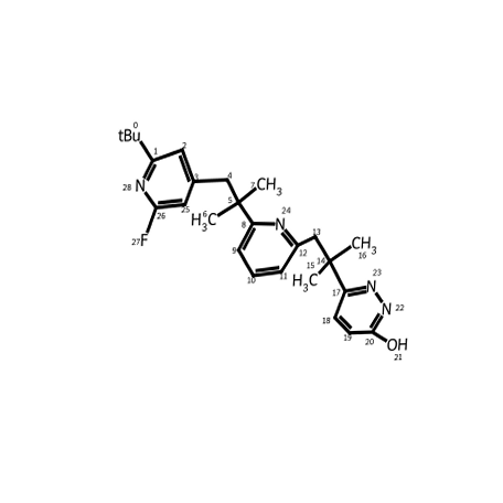 CC(C)(C)c1cc(CC(C)(C)c2cccc(CC(C)(C)c3ccc(O)nn3)n2)cc(F)n1